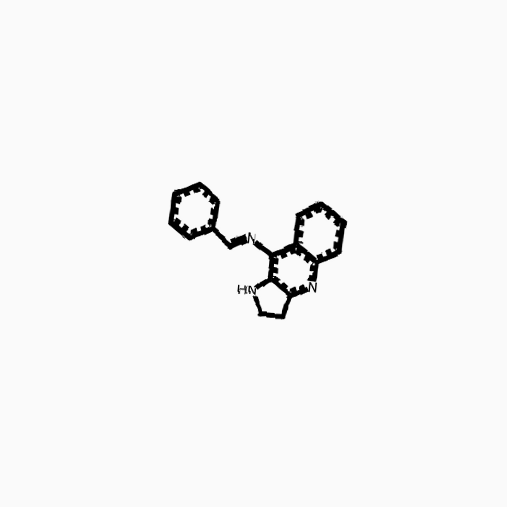 C(=N\c1c2c(nc3ccccc13)CCN2)/c1ccccc1